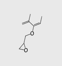 C=C(C)/C(=C\C)OCC1CO1